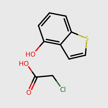 O=C(O)CCl.Oc1cccc2sccc12